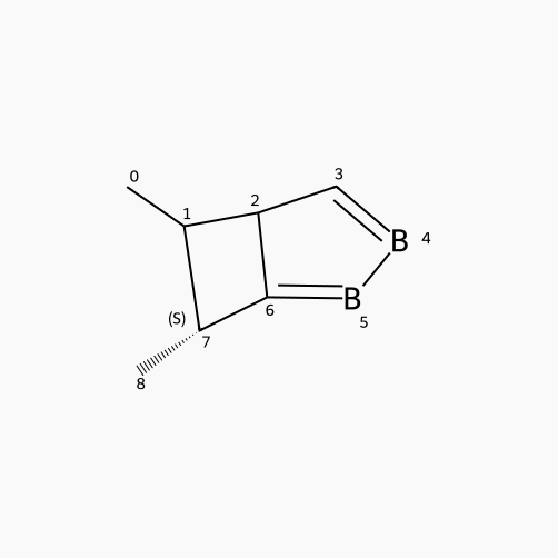 CC1C2C=BB=C2[C@@H]1C